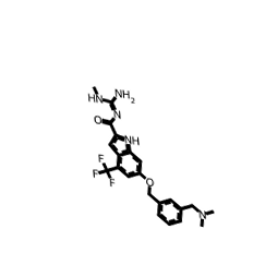 CNC(N)=NC(=O)c1cc2c(C(F)(F)F)cc(OCc3cccc(CN(C)C)c3)cc2[nH]1